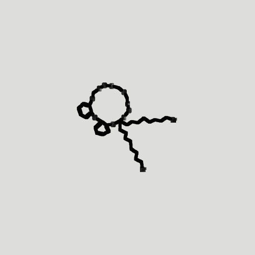 BrCCCCCCCCC1(CCCCCCCCBr)COCCOCCOCCOc2ccccc2Oc2ccccc2O1